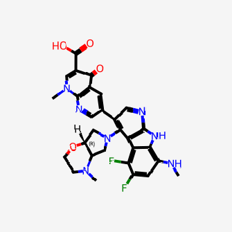 CNc1cc(F)c(F)c2c1[nH]c1ncc(-c3cnc4c(c3)c(=O)c(C(=O)O)cn4C)c(N3CC4[C@@H](C3)OCCN4C)c12